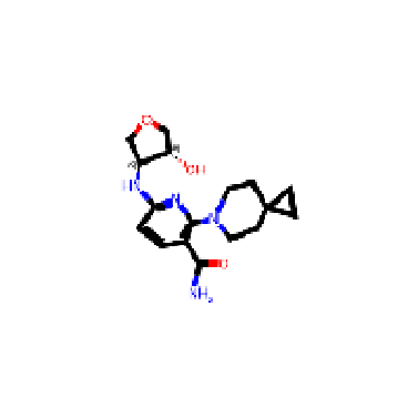 NC(=O)c1ccc(N[C@H]2COC[C@@H]2O)nc1N1CCC2(CC1)CC2